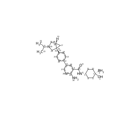 B[C@]1(O)CC[C@H](NC(=O)c2cc(-c3ccc([C@]45C[C@H]4CN(C(C)C)C5)cc3)cnc2N)CC1